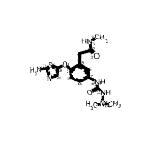 CNC(=O)Cc1cc(NC(=O)NN(C)C)ccc1Oc1cnc(N)s1